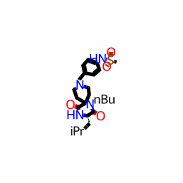 CCCCN1C(=O)[C@H](CC(C)C)NC(=O)C12CCN(Cc1ccc(NS(C)(=O)=O)cc1)CC2